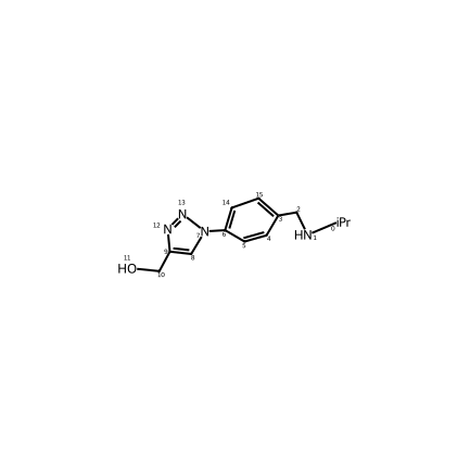 CC(C)NCc1ccc(-n2cc(CO)nn2)cc1